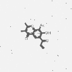 C=CC(=O)c1cc2c(=O)c(C)c(C)oc2c(C(C)=O)c1O